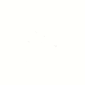 C=NN1/C(=C(\N)c2ccccc2)CNCc2ccccc21